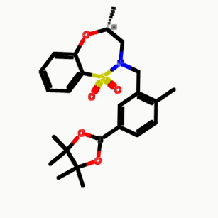 Cc1ccc(B2OC(C)(C)C(C)(C)O2)cc1CN1C[C@@H](C)Oc2ccccc2S1(=O)=O